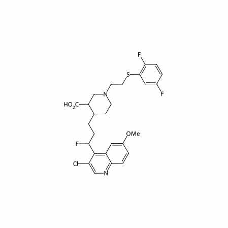 COc1ccc2ncc(Cl)c(C(F)CCC3CCN(CCSc4cc(F)ccc4F)CC3C(=O)O)c2c1